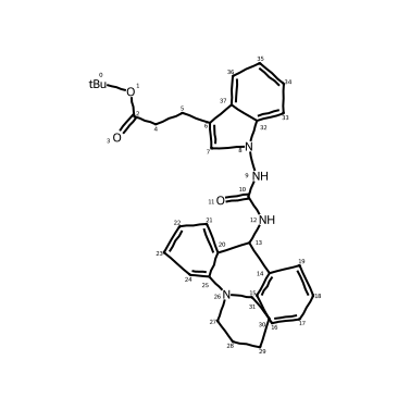 CC(C)(C)OC(=O)CCc1cn(NC(=O)NC(c2ccccc2)c2ccccc2N2CCCCC2)c2ccccc12